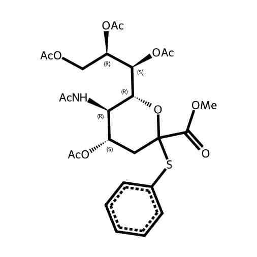 COC(=O)C1(Sc2ccccc2)C[C@H](OC(C)=O)[C@@H](NC(C)=O)[C@H]([C@H](OC(C)=O)[C@@H](COC(C)=O)OC(C)=O)O1